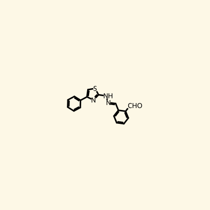 O=Cc1ccccc1/C=N/Nc1nc(-c2ccccc2)cs1